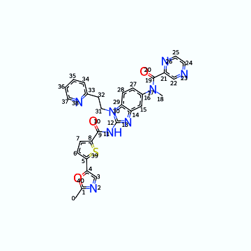 Cc1ncc(-c2ccc(C(=O)Nc3nc4cc(N(C)C(=O)c5cnccn5)ccc4n3CCc3ccccn3)s2)o1